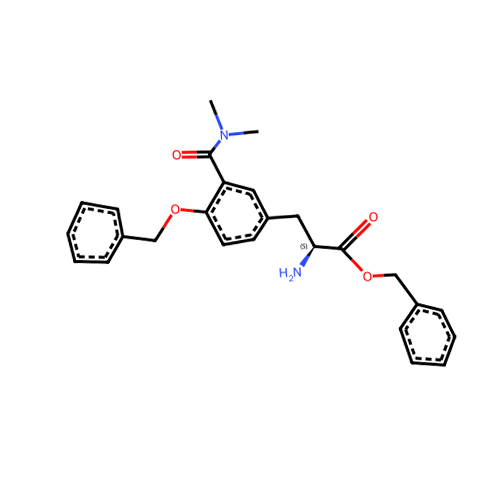 CN(C)C(=O)c1cc(C[C@H](N)C(=O)OCc2ccccc2)ccc1OCc1ccccc1